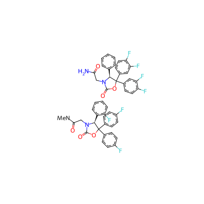 CNC(=O)CN1C(=O)OC(c2ccc(F)cc2)(c2ccc(F)cc2)[C@@H]1c1ccccc1F.NC(=O)CN1C(=O)OC(c2ccc(F)c(F)c2)(c2ccc(F)c(F)c2)[C@@H]1c1ccccc1